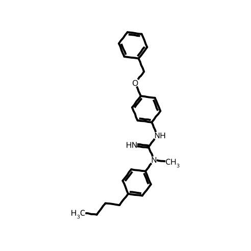 CCCCc1ccc(N(C)C(=N)Nc2ccc(OCc3ccccc3)cc2)cc1